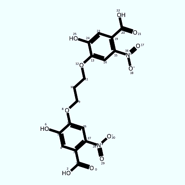 O=C(O)c1cc(O)c(OCCCOc2cc([N+](=O)[O-])c(C(=O)O)cc2O)cc1[N+](=O)[O-]